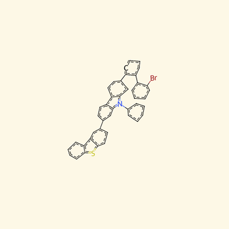 Brc1ccccc1-c1ccccc1-c1ccc2c3ccc(-c4ccc5sc6ccccc6c5c4)cc3n(-c3ccccc3)c2c1